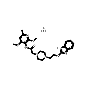 CSc1cc(C)nc(SC)c1NC(=O)CN1CCN(CCSc2nc3ccccc3[nH]2)CC1.Cl.Cl